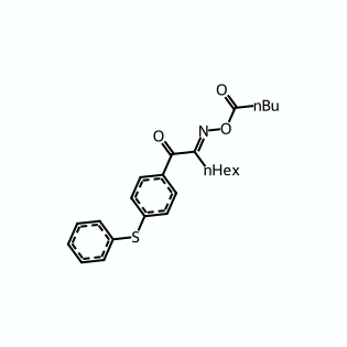 CCCCCC/C(=N\OC(=O)CCCC)C(=O)c1ccc(Sc2ccccc2)cc1